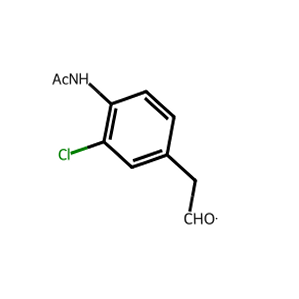 CC(=O)Nc1ccc(C[C]=O)cc1Cl